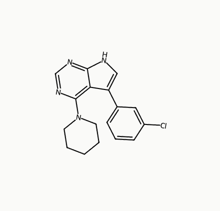 Clc1cccc(-c2c[nH]c3ncnc(N4CCCCC4)c23)c1